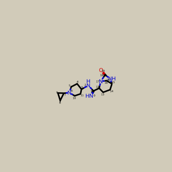 N=C(NC1CCN(C2CC2)CC1)C1CCC2CN1C(=O)N2